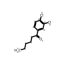 [CH2]CCCCC(=O)c1ccc(Cl)c(Cl)c1